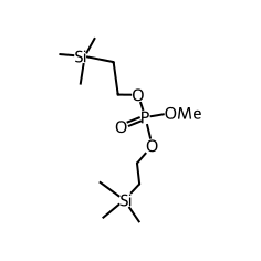 COP(=O)(OCC[Si](C)(C)C)OCC[Si](C)(C)C